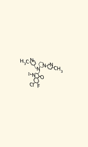 Cc1ccc(N2CCCC(N(Cc3ccnc(C)c3)Cc3cn(C4CC4)c4cc(Cl)c(F)cc4c3=O)C2)cn1